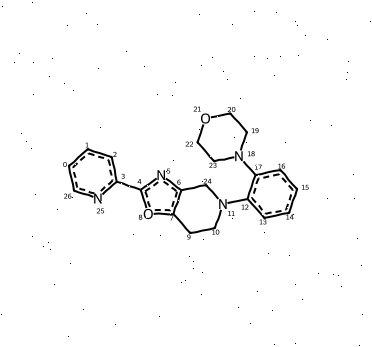 c1ccc(-c2nc3c(o2)CCN(c2ccccc2N2CCOCC2)C3)nc1